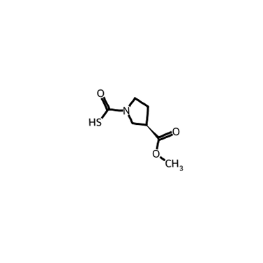 COC(=O)[C@@H]1CCN(C(=O)S)C1